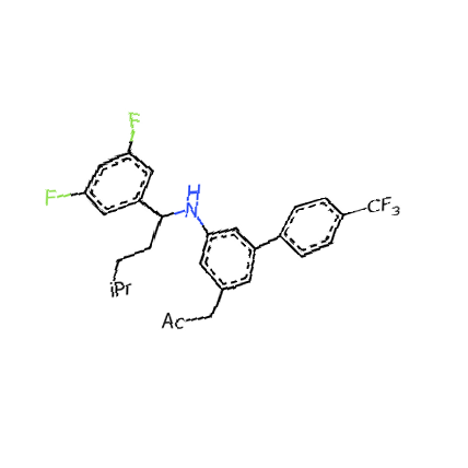 CC(=O)Cc1cc(NC(CCC(C)C)c2cc(F)cc(F)c2)cc(-c2ccc(C(F)(F)F)cc2)c1